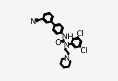 N#Cc1cccc(-c2ccc(NC(=O)N(CCN3CCCCC3)c3cc(Cl)cc(Cl)c3)cc2)c1